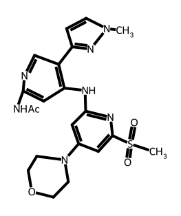 CC(=O)Nc1cc(Nc2cc(N3CCOCC3)cc(S(C)(=O)=O)n2)c(-c2ccn(C)n2)cn1